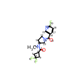 CN(C(=O)C1CC(F)(F)C1)[C@H]1CCN(C(=O)c2ccc(F)nc2)C1